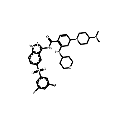 CN(C)C1CCN(C2C=CC(C(=O)Nc3n[nH]c4ccc(S(=O)(=O)c5cc(F)cc(F)c5)cc34)=C(NC3CCOCC3)C2)CC1